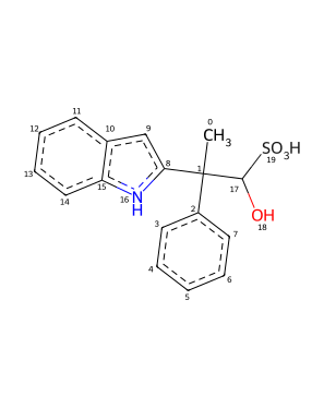 CC(c1ccccc1)(c1cc2ccccc2[nH]1)C(O)S(=O)(=O)O